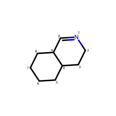 [C]1=NCCC2CCCCC12